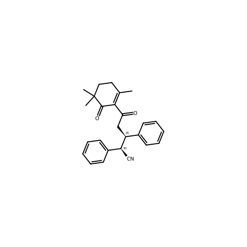 CC1=C(C(=O)C[C@@H](c2ccccc2)[C@@H](C#N)c2ccccc2)C(=O)C(C)(C)CC1